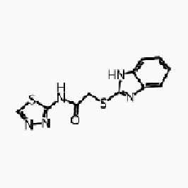 O=C(CSc1nc2ccccc2[nH]1)Nc1nncs1